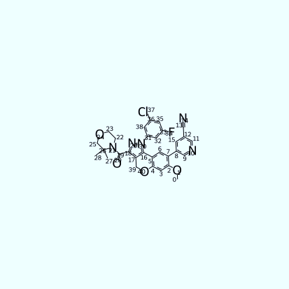 COc1cc2c(cc1-c1cncc(C#N)c1)-c1c(c(C(=O)N3CCOCC3(C)C)nn1-c1cc(F)cc(Cl)c1)CO2